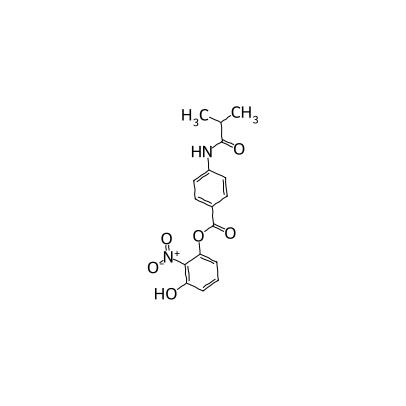 CC(C)C(=O)Nc1ccc(C(=O)Oc2cccc(O)c2[N+](=O)[O-])cc1